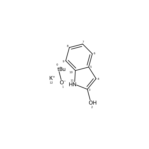 CC(C)(C)[O-].Oc1cc2ccccc2[nH]1.[K+]